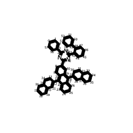 c1ccc(-c2nc(-c3ccc4c(-c5ccc6ccccc6c5)c5ccccc5c(-c5ccc6ccccc6c5)c4c3)nc(-c3ccccc3-c3ccccc3)n2)cc1